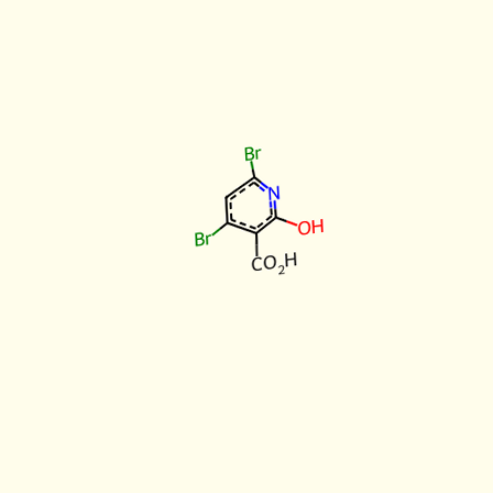 O=C(O)c1c(Br)cc(Br)nc1O